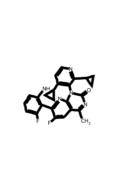 Cc1nc(=O)n(-c2c(C3CC3)ccnc2C2CC2)c2nc(-c3c(N)cccc3F)c(F)cc12